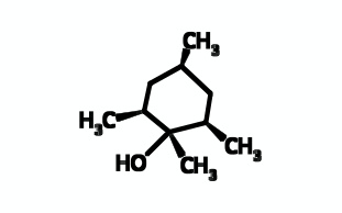 C[C@H]1C[C@@H](C)[C@](C)(O)[C@@H](C)C1